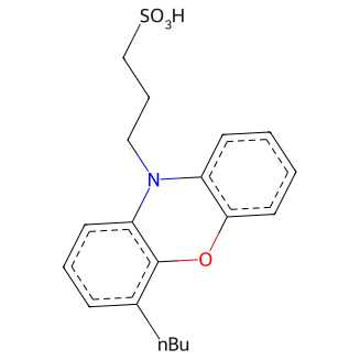 CCCCc1cccc2c1Oc1ccccc1N2CCCS(=O)(=O)O